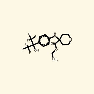 CCOC(=O)C1(Nc2ccc(C(O)(C(F)(F)F)C(F)(F)F)cc2)CCSCC1